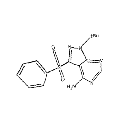 CC(C)(C)n1nc(S(=O)(=O)c2ccccc2)c2c(N)ncnc21